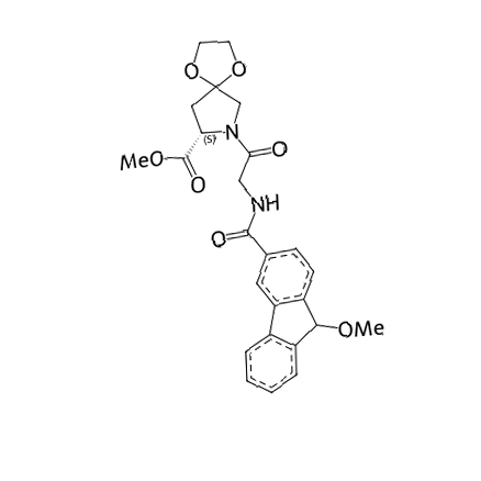 COC(=O)[C@@H]1CC2(CN1C(=O)CNC(=O)c1ccc3c(c1)-c1ccccc1C3OC)OCCO2